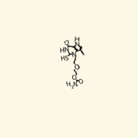 Cc1c[nH]c2c1N(CCOCCOC(N)=O)C(S)NC2=O